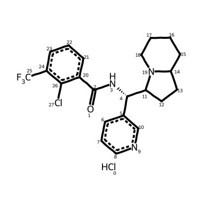 Cl.O=C(N[C@@H](c1cccnc1)C1CCC2CCCCN21)c1cccc(C(F)(F)F)c1Cl